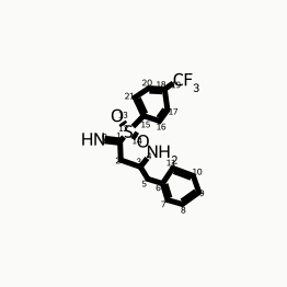 N=C(CC(N)Cc1ccccc1)S(=O)(=O)c1ccc(C(F)(F)F)cc1